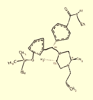 C=CCN1C[C@H](C)N([C@@H](c2ccc(C(=O)N(CC)CC)cc2)c2cccc(O[Si](C)(C)C(C)(C)C)c2)C[C@H]1C